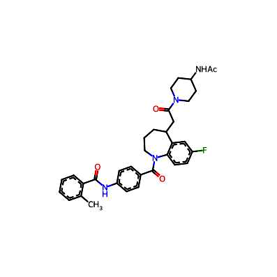 CC(=O)NC1CCN(C(=O)CC2CCCN(C(=O)c3ccc(NC(=O)c4ccccc4C)cc3)c3ccc(F)cc32)CC1